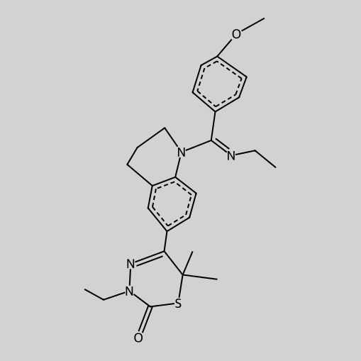 CCN=C(c1ccc(OC)cc1)N1CCCc2cc(C3=NN(CC)C(=O)SC3(C)C)ccc21